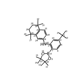 CC(C)(C)c1ccc(B2OC(C)(C)C(C)(C)O2)c(Nc2ccc3c(c2)C(C)(C)CCC3(C)C)c1